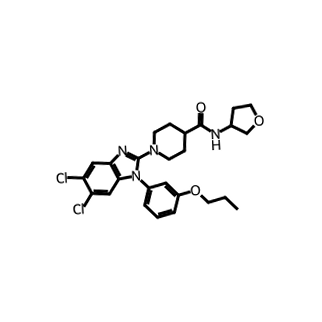 CCCOc1cccc(-n2c(N3CCC(C(=O)NC4CCOC4)CC3)nc3cc(Cl)c(Cl)cc32)c1